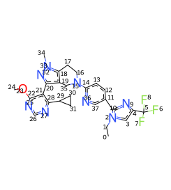 CCn1cc(C(F)(F)F)nc1-c1ccc(N2CCc3c(c(-c4c(OC)ncnc4C4CC4)nn3C)C2)nc1